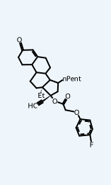 C#C[C@]1(OC(=O)COc2ccc(F)cc2)CC(CCCCC)C2C3CCC4=CC(=O)CCC4C3CC[C@@]21CC